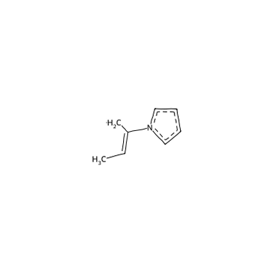 [CH2]C(=CC)n1cccc1